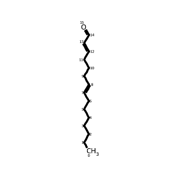 CCCCCCCC=CCCCC=CC=O